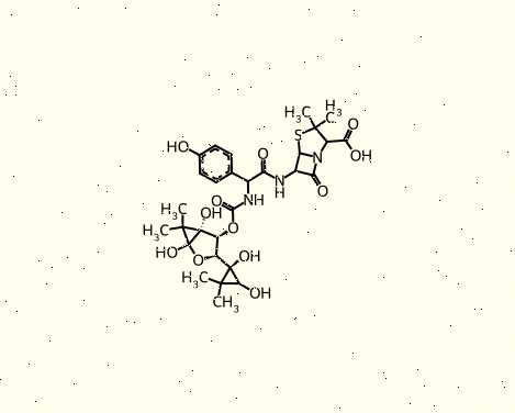 CC1(C)SC2C(NC(=O)C(NC(=O)O[C@H]3[C@@H]([C@]4(O)C(O)C4(C)C)OC4(O)C(C)(C)[C@@]34O)c3ccc(O)cc3)C(=O)N2C1C(=O)O